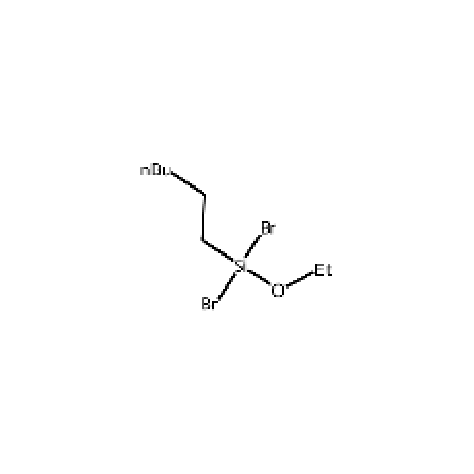 CCCCCC[Si](Br)(Br)OCC